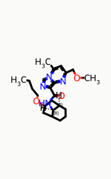 CCCCO[C@@H]1CC2CCC[C@H](C1)[C@@H]2NC(=O)c1ncn2c(C)cc(COC)nc12